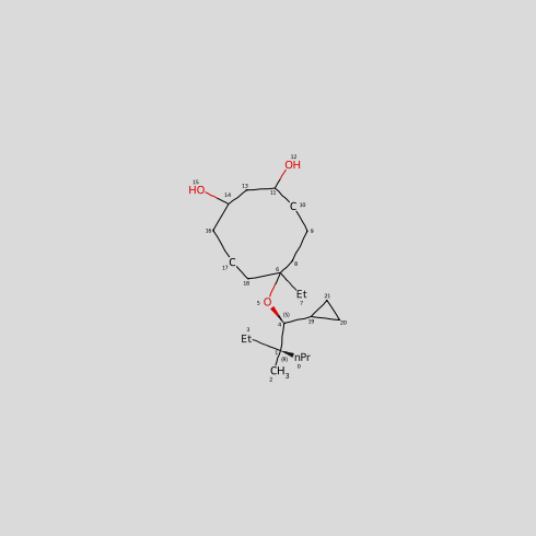 CCC[C@@](C)(CC)[C@@H](OC1(CC)CCCC(O)CC(O)CCC1)C1CC1